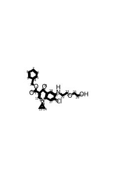 O=C(OCc1ccccc1)c1cn(C2CC2)c2cc(Cl)c(NCCOCCO)cc2c1=O